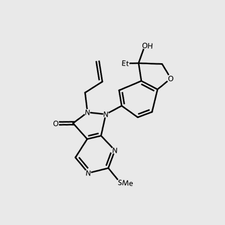 C=CCn1c(=O)c2cnc(SC)nc2n1-c1ccc2c(c1)C(O)(CC)CO2